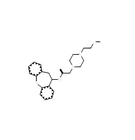 CCCOCCN1CCN(CC(=O)NC2Cc3ccccc3Nc3ccccc32)CC1